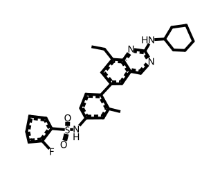 CCc1cc(-c2ccc(NS(=O)(=O)c3ccccc3F)cc2C)cc2cnc(NC3CCCCC3)nc12